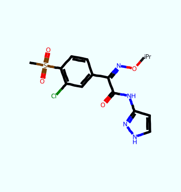 CC(C)ON=C(C(=O)Nc1cc[nH]n1)c1ccc(S(C)(=O)=O)c(Cl)c1